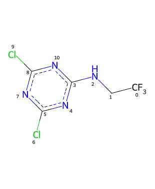 FC(F)(F)CNc1nc(Cl)nc(Cl)n1